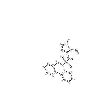 Cc1noc(NS(=O)(=O)C=Cc2ccccc2-c2ccccc2)c1Br